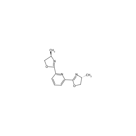 C[C@@H]1COC(c2cccc(C3=N[C@H](C)CO3)n2)=N1